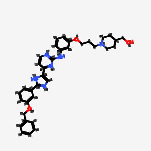 OCC1CCN(CCCOc2cccc(Nc3nccc(-c4cnc(-c5cccc(OCc6ccccc6)c5)[nH]4)n3)c2)CC1